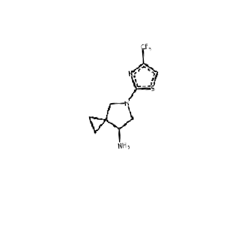 NC1CN(c2nc(C(F)(F)F)cs2)CC12CC2